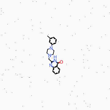 Cc1cccc(N2CCN(Cc3nc4ccccc4c(=O)[nH]3)CC2)c1